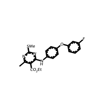 CCOC(=O)c1c(C)nc(SC)nc1Nc1ccc(Oc2cccc(F)c2)cc1